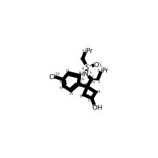 CC(C)C[C@H](N[S+]([O-])CC(C)C)C1(c2ccc(Cl)cc2)CC(O)C1